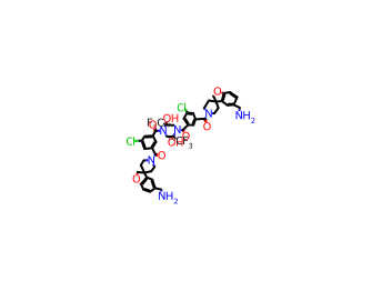 NCc1ccc2c(c1)C1(CCN(C(=O)c3cc(Cl)cc(C(=O)N4C[C@@](O)(C(F)(F)F)N(C(=O)c5cc(Cl)cc(C(=O)N6CCC7(CC6)COc6ccc(CN)cc67)c5)C[C@]4(O)C(F)(F)F)c3)CC1)CO2